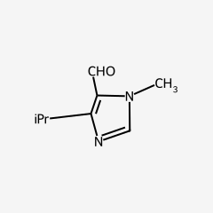 CC(C)c1ncn(C)c1C=O